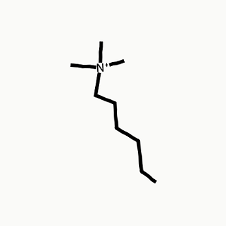 CCCCCC[N+](C)(C)C